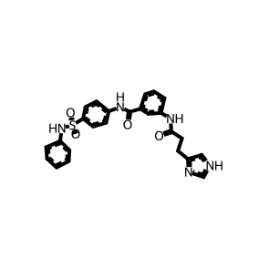 O=C(CCc1c[nH]cn1)Nc1cccc(C(=O)Nc2ccc(S(=O)(=O)Nc3ccccc3)cc2)c1